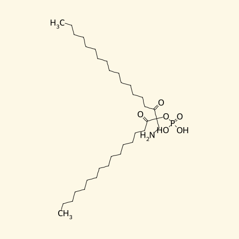 CCCCCCCCCCCCCCCC(=O)C(CN)(OP(=O)(O)O)C(=O)CCCCCCCCCCCCCCC